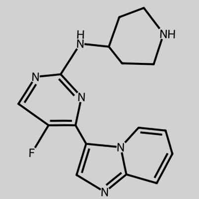 Fc1cnc(NC2CCNCC2)nc1-c1cnc2ccccn12